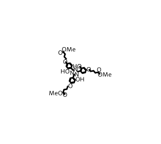 COC(=O)CCCOc1ccc(-c2nc(-c3ccc(OCCCC(=O)OC)cc3O)nc(-c3ccc(OCCCC(=O)OC)cc3O)n2)c(O)c1